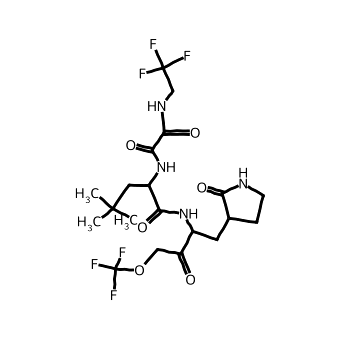 CC(C)(C)CC(NC(=O)C(=O)NCC(F)(F)F)C(=O)NC(CC1CCNC1=O)C(=O)COC(F)(F)F